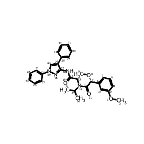 COc1cccc([C@@H](OC)C(=O)N(CC(=O)Nc2nn(-c3ccccc3)cc2-c2ccccc2)C(C)C)c1